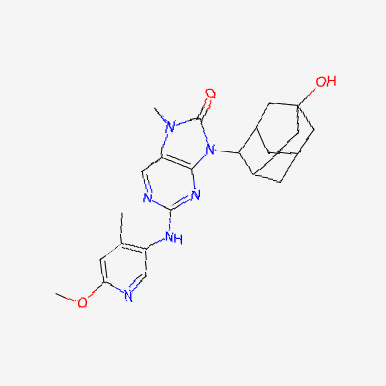 COc1cc(C)c(Nc2ncc3c(n2)n(C2C4CC5CC2CC(O)(C5)C4)c(=O)n3C)cn1